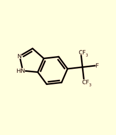 FC(F)(F)C(F)(c1ccc2[nH]ncc2c1)C(F)(F)F